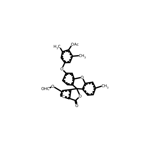 CC(=O)Oc1c(C)cc(Oc2ccc3c(c2)Oc2cc(C)ccc2C32OC(=O)c3ccc(OC=O)cc32)cc1C